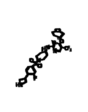 O=S(=O)(c1ccc(C2CNC2)c(F)c1)N1CCC(Nc2ncc(C(F)(F)F)c(O[C@H]3CCOC3)n2)CC1